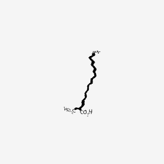 CC(C)CCCCCCCCCCCCCC=CC(CC(=O)O)C(=O)O